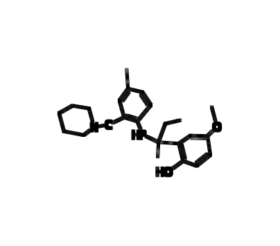 CCC(C)(Pc1ccc(C)cc1CN1CCCCC1)c1cc(OC)ccc1O